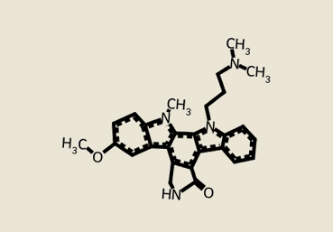 COc1ccc2c(c1)c1c3c(c4c5ccccc5n(CCCN(C)C)c4c1n2C)C(=O)NC3